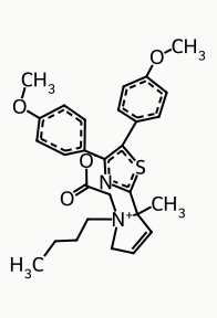 CCCC[N+]1(CC(=O)[O-])CC=CC1(C)c1nc(-c2ccc(OC)cc2)c(-c2ccc(OC)cc2)s1